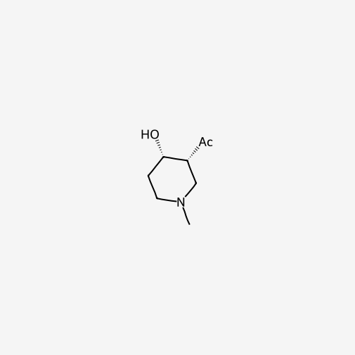 CC(=O)[C@@H]1CN(C)CC[C@@H]1O